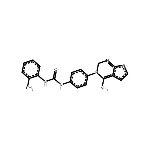 Cc1ccccc1NC(=O)Nc1ccc(N2CN=c3sccc3=C2N)cc1